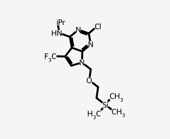 CC(C)Nc1nc(Cl)nc2c1c(C(F)(F)F)cn2COCC[Si](C)(C)C